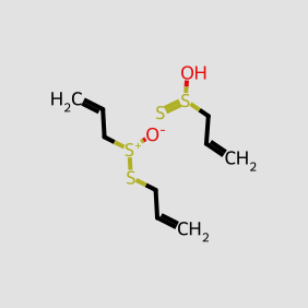 C=CCS(O)=S.C=CCS[S+]([O-])CC=C